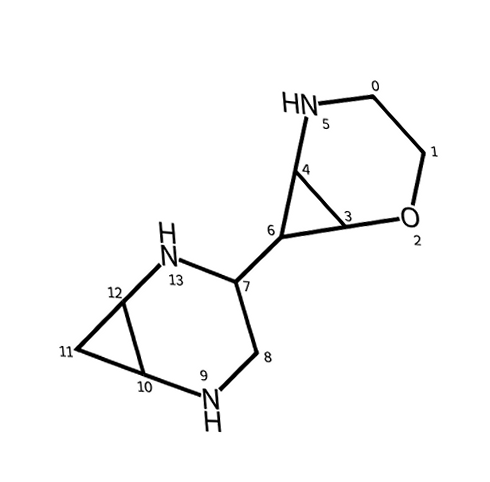 C1COC2C(N1)C2C1CNC2CC2N1